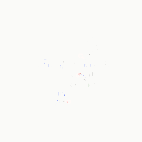 CNN=CNc1cccc(C(NC(=O)C(c2ccccc2)c2ccccc2)C(=O)N(C)C)c1-c1ccc(CNC(N)=O)cc1.Cl